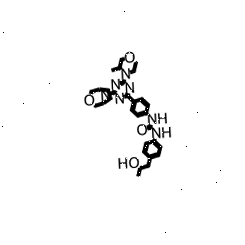 CC(O)Cc1ccc(NC(=O)Nc2ccc(-c3nc(N4CCOCC4C)nc(N4C5CCC4COC5)n3)cc2)cc1